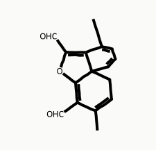 CC1=CCC23C=CC=C(C)C2=C(C=O)OC3=C1C=O